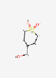 [O]CC1CCS(=O)(=O)CC1